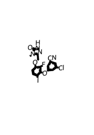 Cn1c(COc2ccc(I)c(Oc3cc(Cl)cc(C#N)c3)c2F)n[nH]c1=O